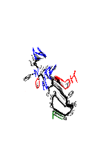 Cc1nc2c(C(=O)N(C)CCC#N)cnn2c(O)c1Cc1ccc(F)cc1